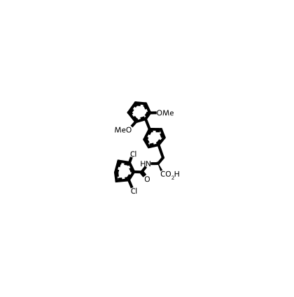 COc1cccc(OC)c1-c1ccc(C[C@H](NC(=O)c2c(Cl)cccc2Cl)C(=O)O)cc1